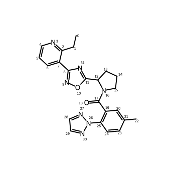 CCc1ncccc1-c1noc(C2CCCN2C(=O)c2cc(C)ccc2-n2nccn2)n1